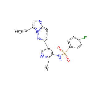 [2H]c1ncc(-c2ccc3ncc(C#C)n3n2)cc1NS(=O)(=O)c1ccc(F)cc1